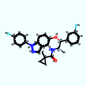 C[C@H](NC(=O)C1(C)CC1)[C@H](Oc1ccc2c(cnn2-c2ccc(F)cc2)c1)c1cccc(F)c1